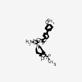 CCOC(=O)C1CC2(CCN(c3cc(O[C@H](c4ccc(-c5cccc(OC)c5)cc4)C(F)(F)F)nc(N)n3)CC2)CN1